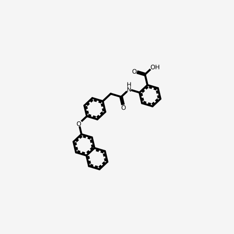 O=C(Cc1ccc(Oc2ccc3ccccc3c2)cc1)Nc1ccccc1C(=O)O